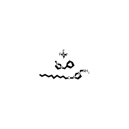 CCCCCCCCCCCCN1C=CN(CN)C1.CN1C=CN(Cc2ccccc2)C1.F[B-](F)(F)F